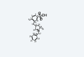 Cc1ccc(S(=O)(=O)O)cc1CC1CC(C)N(Cc2ccccc2)C1